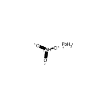 O=[SH](=O)Cl.[PbH2]